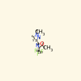 Cc1oc(-c2ccn(C)n2)nc1C(F)(F)F